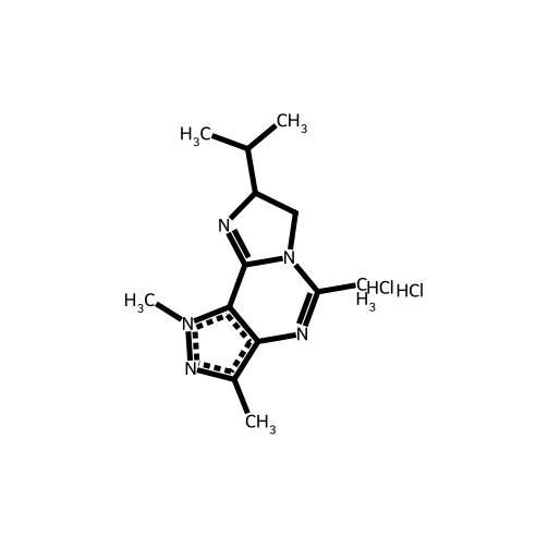 CC1=Nc2c(C)nn(C)c2C2=NC(C(C)C)CN12.Cl.Cl